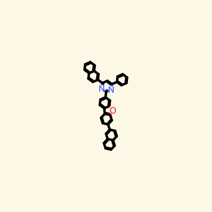 c1ccc(-c2cc(-c3ccc4ccccc4c3)nc(-c3ccc4c(c3)oc3cc(-c5ccc6ccccc6c5)ccc34)n2)cc1